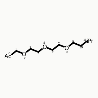 CC(=O)COCCOCCOCCC(C)C